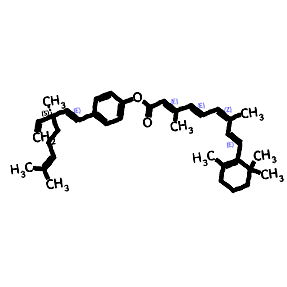 C=C[C@@](C)(/C=C/c1ccc(OC(=O)/C=C(C)/C=C/C=C(C)\C=C\C2=C(C)CCCC2(C)C)cc1)CCC=C(C)C